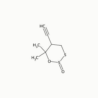 C#CC1CSS(=O)OC1(C)C